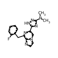 CN(C)c1n[nH]c(-c2cn3ccnc3c(Cc3ccccc3F)n2)n1